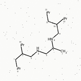 CC(C)CC(CNCC(C)NCC(CC(C)C)C(C)C)C(C)C